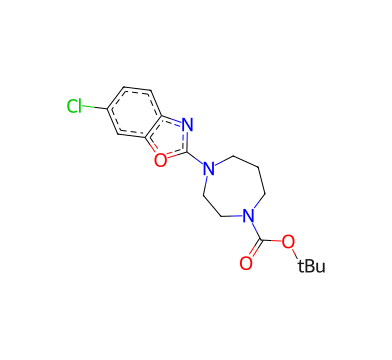 CC(C)(C)OC(=O)N1CCCN(c2nc3ccc(Cl)cc3o2)CC1